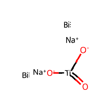 [Bi].[Bi].[Na+].[Na+].[O]=[Ti]([O-])[O-]